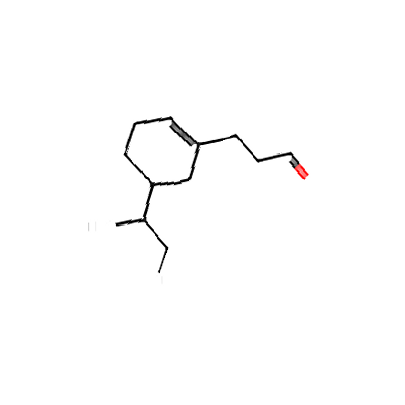 CCC(C)C1CCC=C(CCC=O)C1